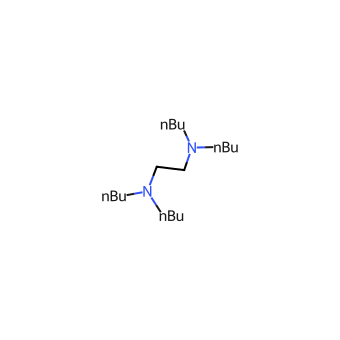 CCCCN(CCCC)CCN(CCCC)CCCC